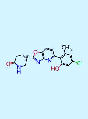 Cc1cc(Cl)cc(O)c1-c1ccc2oc([C@H]3CCC(=O)NC3)nc2n1